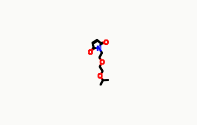 CC(C)OCCOCCN1C(=O)C=CC1=O